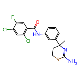 CC1(c2cccc(NC(=O)c3cc(F)c(Cl)cc3Cl)c2)CCSC(N)=N1